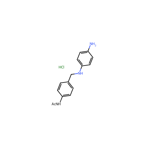 CC(=O)Nc1ccc(CNc2ccc(N)cc2)cc1.Cl